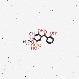 COC1(OC)C=C(O)C(C(=O)c2ccccc2O)C=C1S(=O)(=O)O